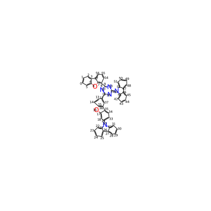 c1ccc2c(c1)oc1c(-c3nc(-c4ccc5oc6cc(-n7c8ccccc8c8ccccc87)ccc6c5c4)nc(-n4c5ccccc5c5ccccc54)n3)cccc12